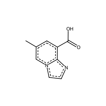 Cc1cc(C(=O)O)c2nccn2c1